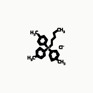 CCCCC[P+](c1ccc(C)cc1)(c1ccc(C)cc1)c1ccc(C)cc1.[Cl-]